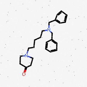 O=C1CCN(CCCCCN(Cc2ccccc2)Cc2ccccc2)CC1